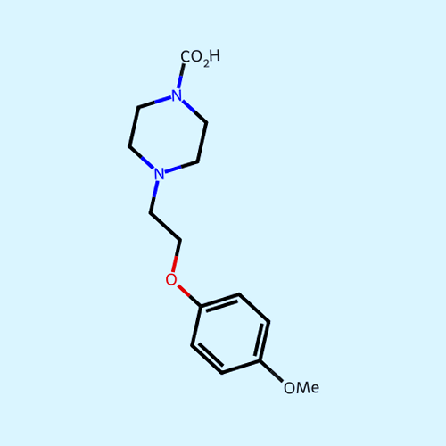 COc1ccc(OCCN2CCN(C(=O)O)CC2)cc1